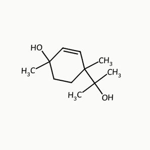 CC1(O)C=CC(C)(C(C)(C)O)CC1